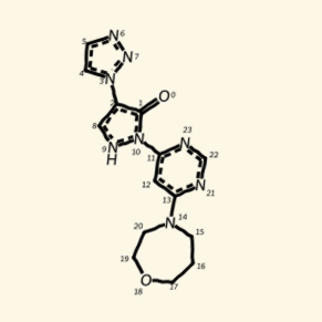 O=c1c(-n2ccnn2)c[nH]n1-c1cc(N2CCCOCC2)ncn1